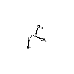 C[CH]O[SiH](C)C